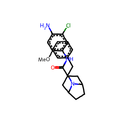 COc1cc(N)c(Cl)cc1NC(=O)C1CC2CCC(C1)N2CCc1ccccc1